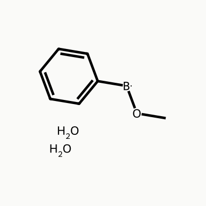 CO[B]c1ccccc1.O.O